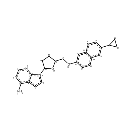 Nc1ncnc2c1ccn2C1CCC(COc2ccc3cc(C4CC4)cnc3c2)O1